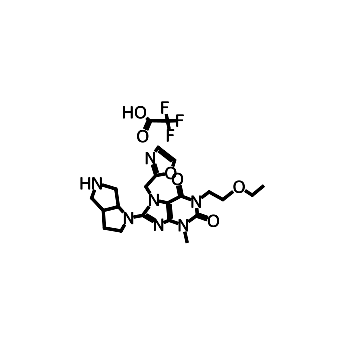 CCOCCn1c(=O)c2c(nc(N3CCC4CNCC43)n2Cc2ncco2)n(C)c1=O.O=C(O)C(F)(F)F